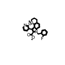 COC(=O)c1c(-c2cccnc2OC)c2c3c(ccc2n1Cc1ccccc1F)CCCO3